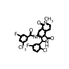 Cn1ccc2c3c(c(NC(=O)c4cc(F)cc(C(F)(F)F)c4)cc2c1=O)C(c1cc(F)ccc1Cl)NC3=O